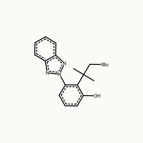 CC(C)(C)CC(C)(C)c1c(O)cccc1-n1nc2ccccc2n1